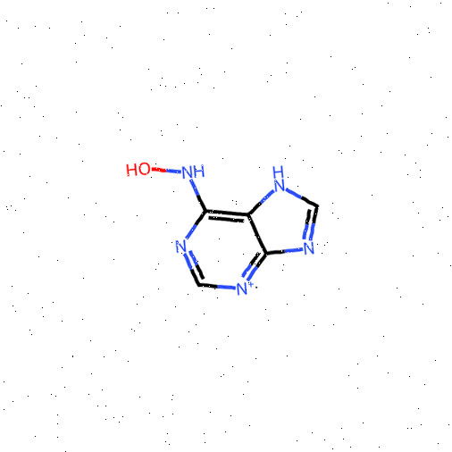 ONC1=c2[nH]cnc2=[N+]C=N1